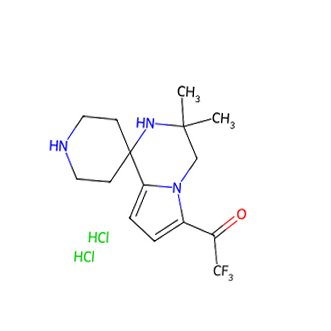 CC1(C)Cn2c(C(=O)C(F)(F)F)ccc2C2(CCNCC2)N1.Cl.Cl